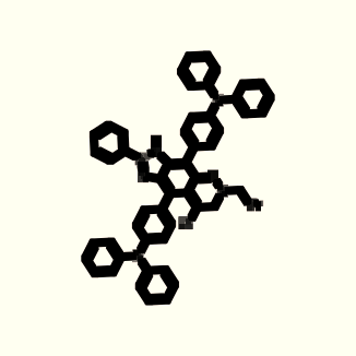 CCC1=c2c(-c3ccc(N(c4ccccc4)c4ccccc4)cc3)c3n[n+](-c4ccccc4)[nH]c3c(-c3ccc(N(c4ccccc4)c4ccccc4)cc3)c2=NN(CC(C)C)C1